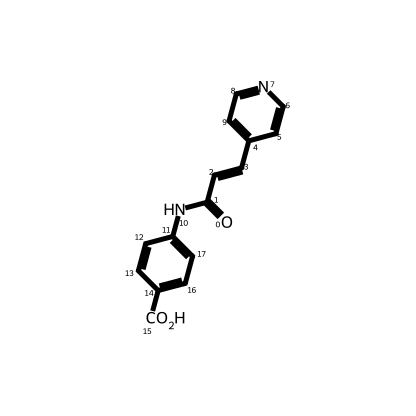 O=C(C=Cc1ccncc1)Nc1ccc(C(=O)O)cc1